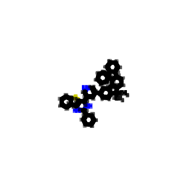 CC1(C)C2C=CC(C3=CNCC(C4NC(C5CCCCC5)NC5=C4SC4CCCCC54)=C3)CC2C2C1CCC1C3CCCCC3C3(CCCCC3)C12